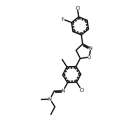 CCN(C)C=Nc1cc(C)c(C2CC(c3ccc(Cl)c(F)c3)=NO2)cc1Cl